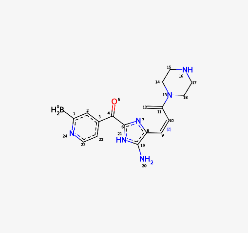 Bc1cc(C(=O)c2nc(/C=C\C(=C)N3CCNCC3)c(N)[nH]2)ccn1